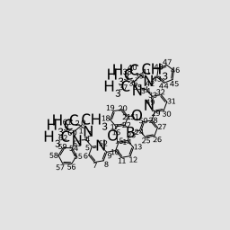 CC1(C)N=C(c2cccc(-c3cccc4c3Oc3cccc5c3B4c3cccc(-c4cccc(C6=NC(C)(C)C(C)(C)N6c6ccccc6)n4)c3O5)n2)N(c2ccccc2)C1(C)C